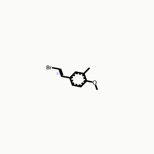 COc1ccc(/C=C/Br)cc1C